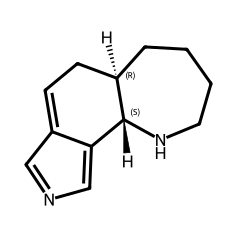 C1=NC=C2C1=CC[C@H]1CCCCN[C@H]21